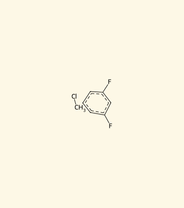 CCl.Fc1cccc(F)c1